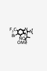 COCC(C)n1c(N(C)C)nc2cc(C(F)(F)F)c(Br)c([N+](=O)[O-])c21